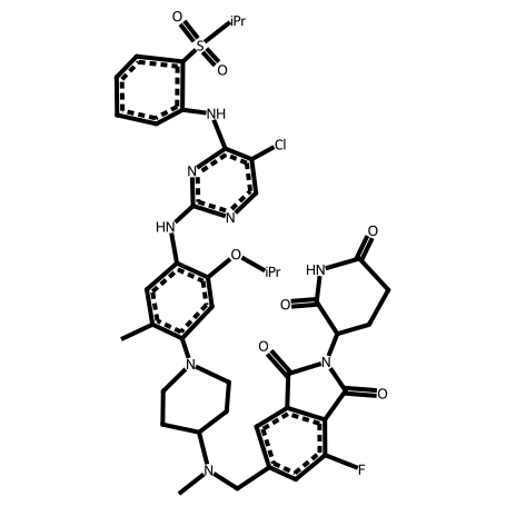 Cc1cc(Nc2ncc(Cl)c(Nc3ccccc3S(=O)(=O)C(C)C)n2)c(OC(C)C)cc1N1CCC(N(C)Cc2cc(F)c3c(c2)C(=O)N(C2CCC(=O)NC2=O)C3=O)CC1